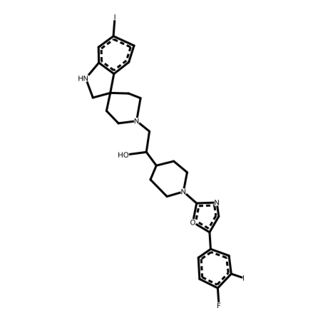 OC(CN1CCC2(CC1)CNc1cc(I)ccc12)C1CCN(c2ncc(-c3ccc(F)c(I)c3)o2)CC1